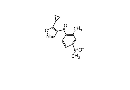 Cc1cc([S+](C)[O-])ccc1C(=O)c1cnoc1C1CC1